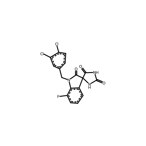 O=C1NC(=O)C2(N1)C(=O)N(Cc1ccc(Cl)c(Cl)c1)c1c(F)cccc12